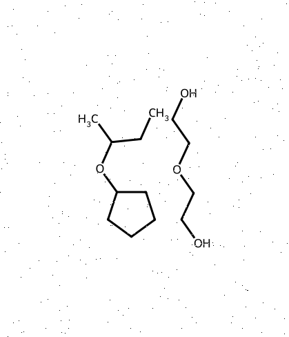 CCC(C)OC1CCCC1.OCCOCCO